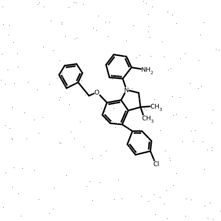 CC1(C)CN(c2ccccc2N)c2c(OCc3ccccc3)ccc(-c3ccc(Cl)cc3)c21